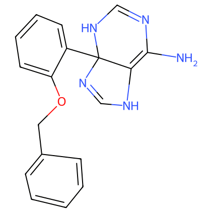 NC1=C2NC=NC2(c2ccccc2OCc2ccccc2)NC=N1